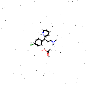 CC(=O)O.CN(C)CCC(c1ccc(Cl)cc1)c1ccccn1